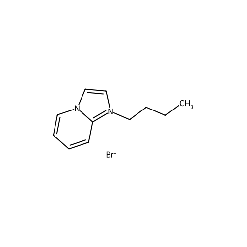 CCCC[n+]1ccn2ccccc21.[Br-]